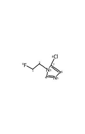 FCCn1[c]n[c]c1Cl